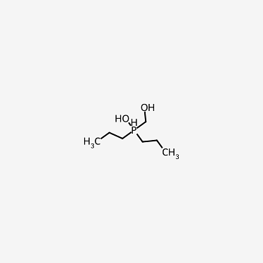 CCC[PH](O)(CO)CCC